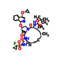 C[C@@H]1CC/C=C\[C@@H]2C[C@@]2(C(=O)NS(=O)(=O)C2(F)CC2)NC(=O)[C@@H]2C[C@@H](Oc3ncc(OC4CC4)c4ccccc34)CN2C(=O)[C@@H](NC(=O)OC(C)(C)C)[C@H](C)C1